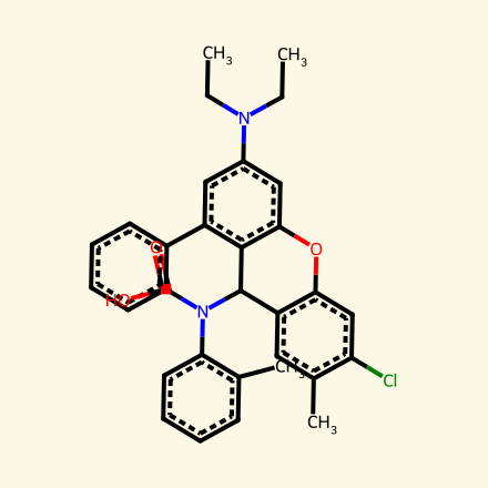 CCN(CC)c1cc2c(c(-c3ccccc3)c1)C(N(C(=O)O)c1ccccc1C)c1cc(C)c(Cl)cc1O2